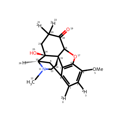 [2H]c1c([2H])c(OC)c2c3c1C[C@H]1N(C)CC[C@@]34C(O2)C(=O)C([2H])([2H])C[C@@]14O